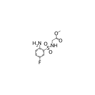 COC(=O)CNS(=O)(=O)c1cc(F)ccc1N